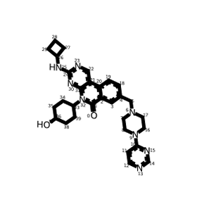 O=c1c2cc(CN3CCN(c4ccncn4)CC3)ccc2c2cnc(NC3CCC3)nc2n1C1CCC(O)CC1